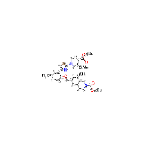 CO[C@H]1CN(c2nc(-c3cc(C)ccc3OCc3cc(C)c4c(c3)CCN(C(=O)OC(C)(C)C)C4)cs2)CC[C@H]1C(=O)OC(C)(C)C